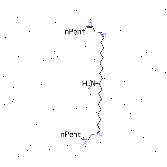 CCCCC/C=C\C/C=C\CCCCCCCCC(N)CCCCCCCC/C=C\C/C=C\CCCCC